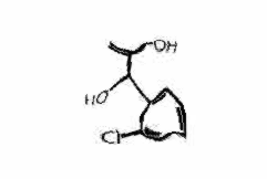 C=C(O)C(O)c1ccccc1Cl